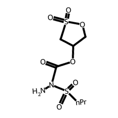 CCCS(=O)(=O)N(N)C(=O)OC1COS(=O)(=O)C1